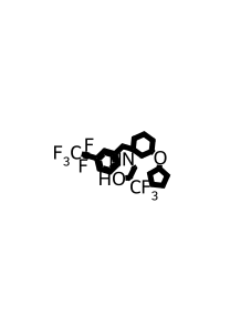 OC(CNC1(Cc2cccc(C(F)(F)C(F)(F)F)c2)CCCC(OC2CCCC2)C1)C(F)(F)F